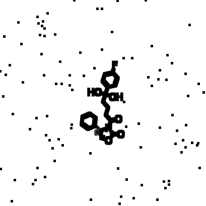 O=C(CCCC(O)(O)c1ccc(F)cc1)N1C(=O)OC[C@@H]1c1ccccc1